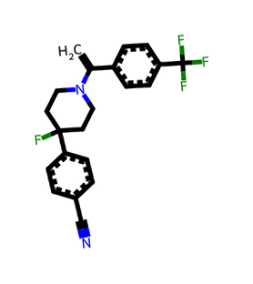 C=C(c1ccc(C(F)(F)F)cc1)N1CCC(F)(c2ccc(C#N)cc2)CC1